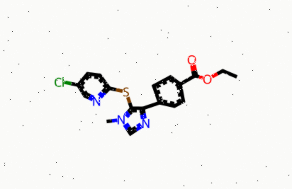 CCOC(=O)c1ccc(-c2ncn(C)c2Sc2ccc(Cl)cn2)cc1